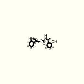 CC(NC(=O)CCc1c[nH]c2ccccc12)c1ccccc1O